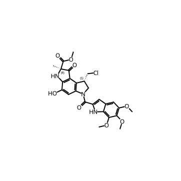 COC(=O)[C@]1(C)Nc2c(O)cc3c(c2C1=O)[C@H](CCl)CN3C(=O)c1cc2cc(OC)c(OC)c(OC)c2[nH]1